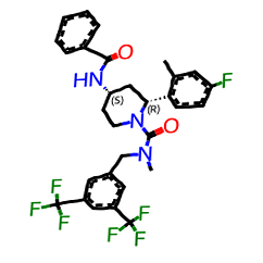 Cc1cc(F)ccc1[C@H]1C[C@@H](NC(=O)c2ccccc2)CCN1C(=O)N(C)Cc1cc(C(F)(F)F)cc(C(F)(F)F)c1